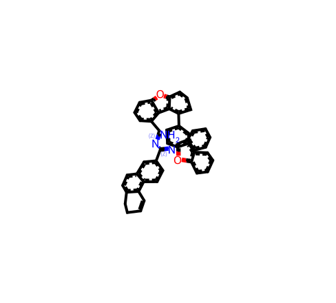 N/C(=N\C(=N/Cc1ccccc1)c1ccc2c3c(ccc2c1)CCC=C3)c1cccc2oc3cccc(-c4ccc5oc6ccccc6c5c4)c3c12